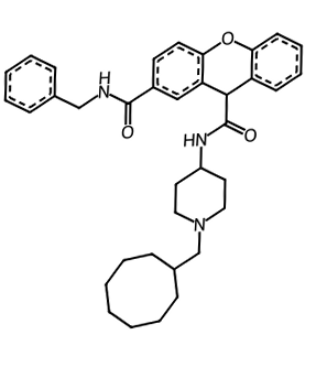 O=C(NCc1ccccc1)c1ccc2c(c1)C(C(=O)NC1CCN(CC3CCCCCCC3)CC1)c1ccccc1O2